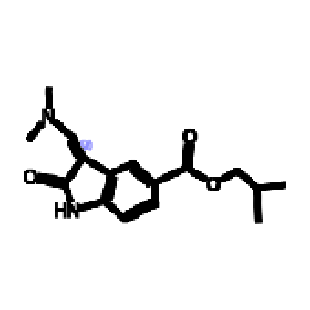 CC(C)COC(=O)c1ccc2c(c1)/C(=C/N(C)C)C(=O)N2